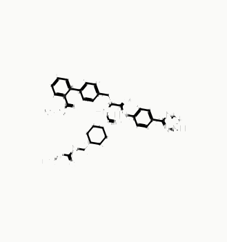 CNC(=O)c1ccccc1-c1ccc(C[C@H](NC(=O)[C@H]2CC[C@H](CNC(=O)OC(C)(C)C)CC2)C(=O)Nc2ccc(-c3nn[nH]n3)cc2)cc1